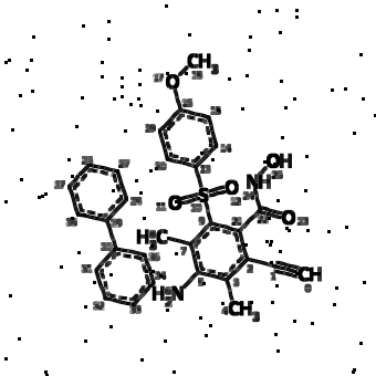 C#Cc1c(C)c(N)c(C)c(S(=O)(=O)c2ccc(OC)cc2)c1C(=O)NO.c1ccc(-c2ccccc2)cc1